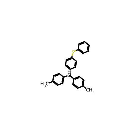 Cc1ccc([SiH](c2ccc(C)cc2)c2ccc(Sc3ccccc3)cc2)cc1